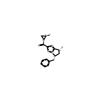 O=C(c1nc2n(n1)[C@@H](Cc1ccccc1)C[C@H]2F)[C@H]1C[C@H]1F